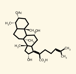 CC(=O)O[C@@H]1CC[C@@]2(C)C(CC[C@@]3(C)C2[C@H](O)CC2/C(=C(\CCC=C(C)C)C(=O)O)[C@H](O)C[C@@]23C)[C@@H]1C